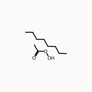 CC(=O)OO.CCCCCCCC